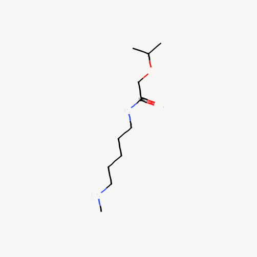 CNCCCCCNC(=O)COC(C)C